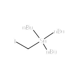 CCC[CH2][Sn]([CH2]I)([CH2]CCC)[CH2]CCC